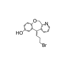 Oc1ccc2c(c1)/C(=C/CCBr)c1cccnc1CO2